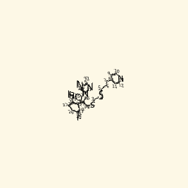 C[C@@H](SCSCCCc1ccncc1)[C@](O)(Cn1cncn1)c1cc(F)ccc1F